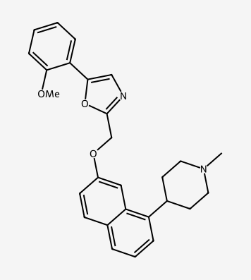 COc1ccccc1-c1cnc(COc2ccc3cccc(C4CCN(C)CC4)c3c2)o1